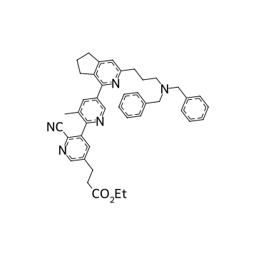 CCOC(=O)CCc1cnc(C#N)c(-c2ncc(-c3nc(CCCN(Cc4ccccc4)Cc4ccccc4)cc4c3CCC4)cc2C)c1